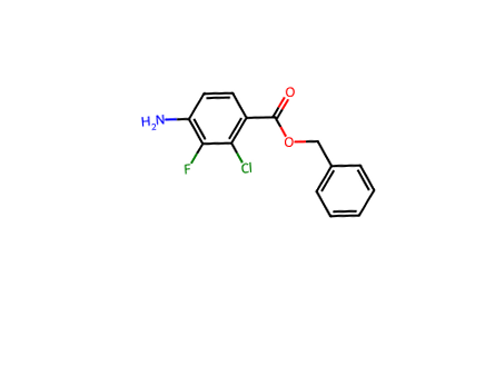 Nc1ccc(C(=O)OCc2ccccc2)c(Cl)c1F